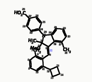 COC1(C)/C(=C\c2c(C)cccc2C2CCC2)c2c(C)cccc2N1c1ccc(C(=O)O)cc1